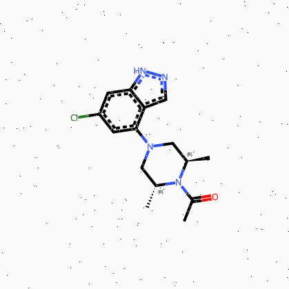 CC(=O)N1[C@H](C)CN(c2cc(Cl)cc3[nH]ncc23)C[C@H]1C